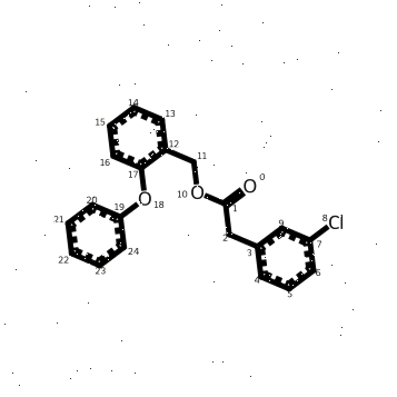 O=C(Cc1cccc(Cl)c1)OCc1ccccc1Oc1ccccc1